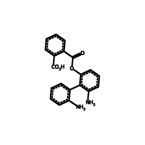 Nc1ccccc1-c1c(N)cccc1OC(=O)c1ccccc1C(=O)O